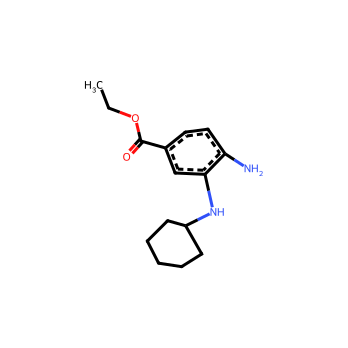 CCOC(=O)c1ccc(N)c(NC2CCCCC2)c1